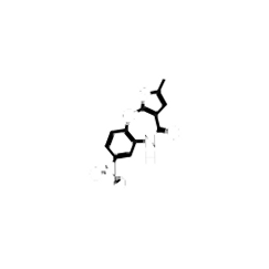 Cc1cc2c(s1)Oc1ccc([N+](=O)[O-])cc1NC2=O